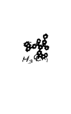 CC1(C)c2ccc(-c3cc(N(c4ccccc4)c4ccc(-c5ccccc5)cc4)cc(N(c4ccccc4)c4ccc(-c5cccc6c5sc5ccccc56)cc4)c3)cc2-c2c1ccc1ccccc21